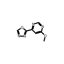 COc1cc(-c2nnco2)ncn1